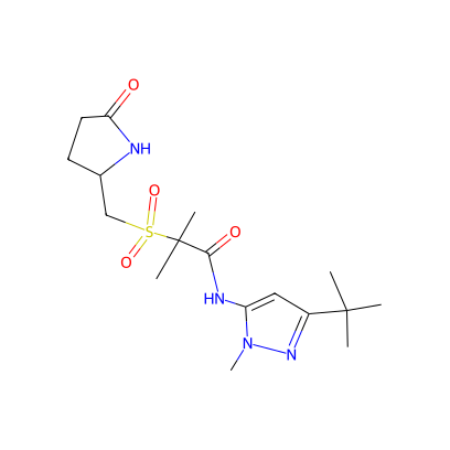 Cn1nc(C(C)(C)C)cc1NC(=O)C(C)(C)S(=O)(=O)CC1CCC(=O)N1